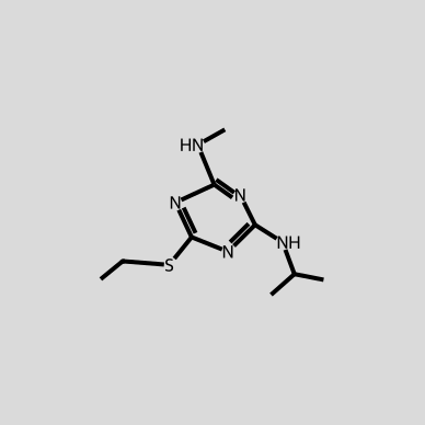 CCSc1nc(NC)nc(NC(C)C)n1